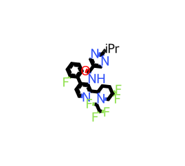 CC(C)c1ncc(C(=O)Nc2c(-c3ccccc3F)ccnc2C2CCC(F)(F)CN2C(F)C(F)F)cn1